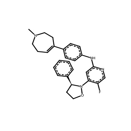 CN1CCC=C(c2ccc(Nc3cc(N4OCC[C@H]4c4ccccc4)c(F)cn3)cc2)CC1